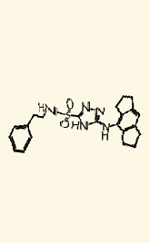 O=S(=O)(NCCc1ccccc1)c1nnc(Nc2c3c(cc4c2CCC4)CCC3)[nH]1